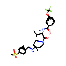 CC(C)[C@H](NC(=O)c1cccc(OC(F)(F)F)c1)C(=O)N1CCC(C)(NCc2ccc(S(C)(=O)=O)cc2)CC1